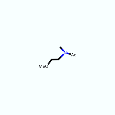 [CH2]C(=O)N(C)CCOC